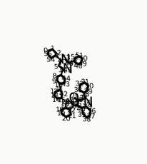 c1ccc(-c2cc(-c3ccc(-c4cccc([C@H]5c6ccccc6-c6c5oc5c(-c7ccccc7)nc7ccccc7c65)c4)cc3)nc(-c3ccccc3)n2)cc1